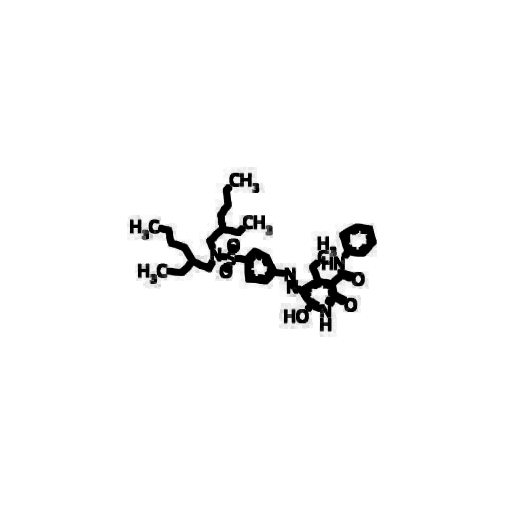 CCCCC(CC)CN(CC(CC)CCCC)S(=O)(=O)c1ccc(/N=N/c2c(O)[nH]c(=O)c(C(=O)Nc3ccccc3)c2CC)cc1